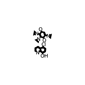 O=C1C=C(N2CC2)C(=O)C(N2CC2)=C1N1CC1.Oc1ccc(Cl)c2cccnc12